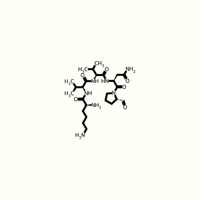 CC(C)[C@H](NC(=O)[C@@H](NC(=O)[C@@H](N)CCCCN)C(C)C)C(=O)N[C@@H](CC(N)=O)C(=O)N1CCC[C@H]1[C]=O